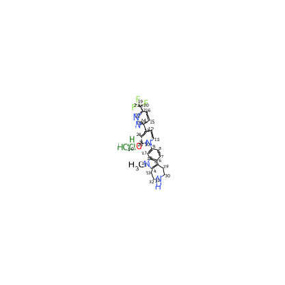 Cl.Cl.Cn1c2c(c3ccc(-n4ccc(-c5ccc(C(F)(F)F)nn5)cc4=O)cc31)CCNCC2